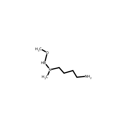 COBN(C)CCCCN